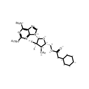 CNc1nc(NC(C)=O)nc2c1ncn2[C@@H]1O[C@H](COC(=O)CC2CCCCC2)[C@@H](OC(C)=O)[C@@]1(C)F